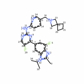 Cc1nc2c(F)cc(-c3nc(Nc4ccc(CN5CC6(CCC6)C5)cn4)ncc3F)cc2n1C(C)C